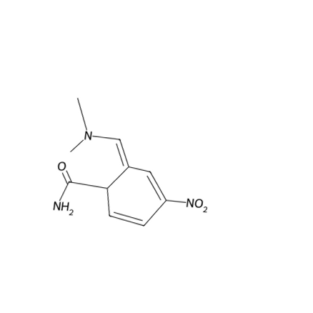 CN(C)/C=C1/C=C([N+](=O)[O-])C=CC1C(N)=O